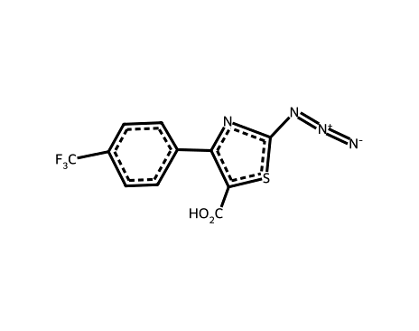 [N-]=[N+]=Nc1nc(-c2ccc(C(F)(F)F)cc2)c(C(=O)O)s1